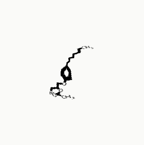 CCCCCCCCc1ccc(OCC(CBr)OC(C)=O)cc1